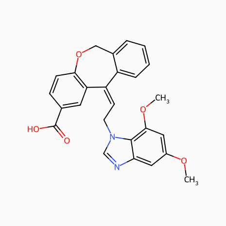 COc1cc(OC)c2c(c1)ncn2CC=C1c2ccccc2COc2ccc(C(=O)O)cc21